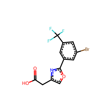 O=C(O)Cc1coc(-c2cc(Br)cc(C(F)(F)F)c2)n1